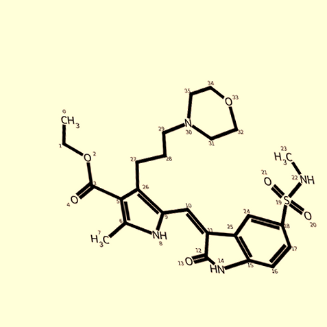 CCOC(=O)c1c(C)[nH]c(C=C2C(=O)Nc3ccc(S(=O)(=O)NC)cc32)c1CCCN1CCOCC1